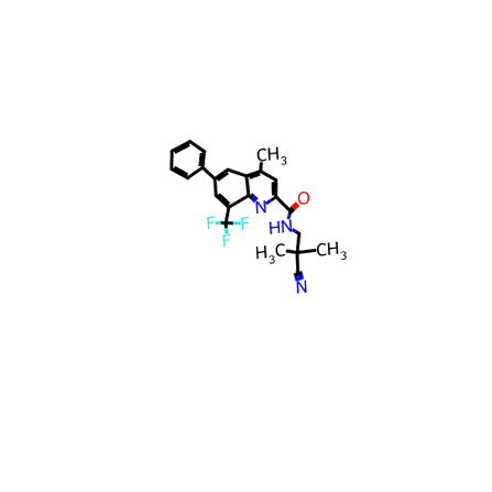 Cc1cc(C(=O)NCC(C)(C)C#N)nc2c(C(F)(F)F)cc(-c3ccccc3)cc12